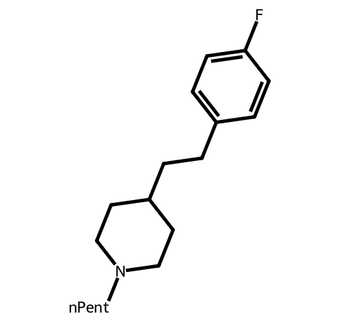 CCCCCN1CCC(CCc2ccc(F)cc2)CC1